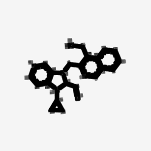 O=CC1N(Cc2ncc3ccccc3c2CO)c2cnccc2N1C1CC1